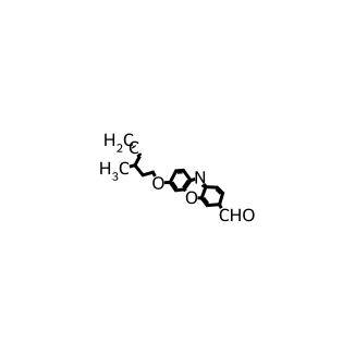 C=C=CC(C)CCOc1ccc2c(c1)OC1=CC(C=O)C=CC1=N2